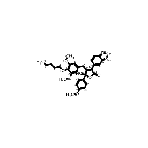 CCCCCOc1c(OC)cc(CC2=C(c3ccc4nsnc4c3)C(=O)OC2(O)c2ccc(OC)cc2)cc1OC